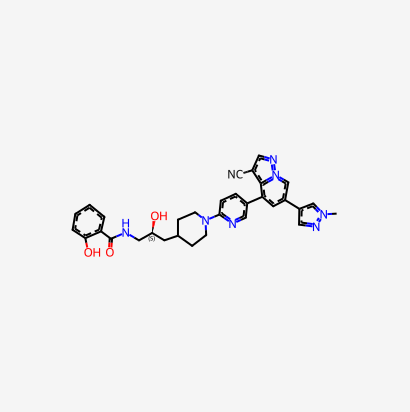 Cn1cc(-c2cc(-c3ccc(N4CCC(C[C@H](O)CNC(=O)c5ccccc5O)CC4)nc3)c3c(C#N)cnn3c2)cn1